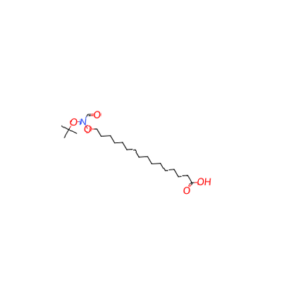 CC(C)(C)ON(C=O)OCCCCCCCCCCCCCCCC(=O)O